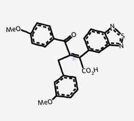 COc1ccc(C(=O)/C(Cc2cccc(OC)c2)=C(/C(=O)O)c2ccc3nsnc3c2)cc1